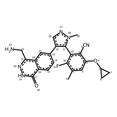 Cc1cc(OC2CC2)c(C#N)c(-c2c(-c3ccc4c(=O)[nH]nc(CN)c4c3)cnn2C)c1F